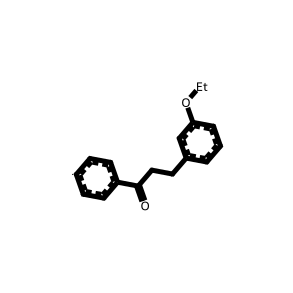 CCOc1cccc(CCC(=O)c2cc[c]cc2)c1